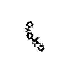 [2H]c1c(-c2ccc(NS(=O)(=O)C3CCCCC3)cc2)n[nH]c1Nc1cnccn1